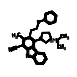 Cc1c(CCSc2ccccc2)c(N2CC[C@H](N(C)C)C2)n2c(nc3ccccc32)c1C#N